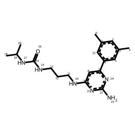 Cc1cc(C)cc(-c2cc(NCCCNC(=O)NC(C)C)nc(N)n2)c1